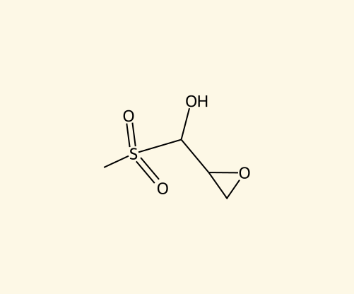 CS(=O)(=O)C(O)C1CO1